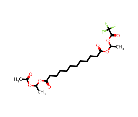 CC(=O)OC(C)OC(=O)CCCCCCCCCCC(=O)OC(C)OC(=O)C(F)(F)F